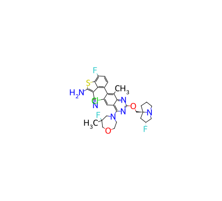 Cc1c(-c2ccc(F)c3sc(N)c(C#N)c23)c(Cl)cc2c(N3CCOCC(C)(F)C3)nc(OC[C@@]34CCCN3C[C@H](F)C4)nc12